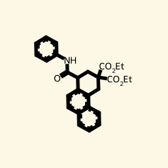 CCOC(=O)C1(C(=O)OCC)Cc2c(ccc3ccccc23)C(C(=O)Nc2ccccc2)C1